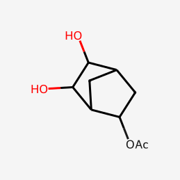 CC(=O)OC1CC2CC1C(O)C2O